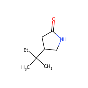 CCC(C)(C)C1CNC(=O)C1